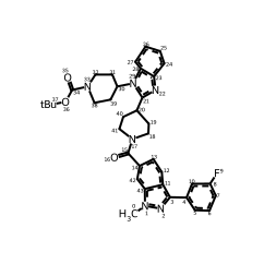 Cn1nc(-c2cccc(F)c2)c2ccc(C(=O)N3CCC(c4nc5ccccc5n4C4CCN(C(=O)OC(C)(C)C)CC4)CC3)cc21